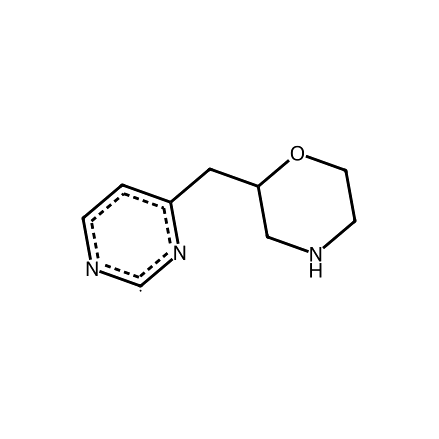 [c]1nccc(CC2CNCCO2)n1